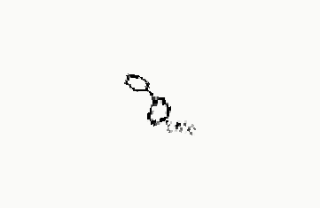 COc1ccc(C2CC=CCC2)cc1